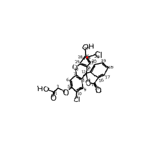 O=C(O)COc1cc2c(cc1Cl)C1(OC(=O)c3ccccc31)c1cc(Cl)c(O)cc1O2